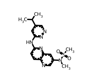 CC(C)c1cnnc(Nc2ccc3ncc(N(C)S(C)(=O)=O)cc3n2)c1